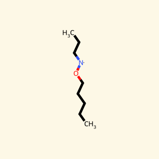 CCCCCO[N]CCC